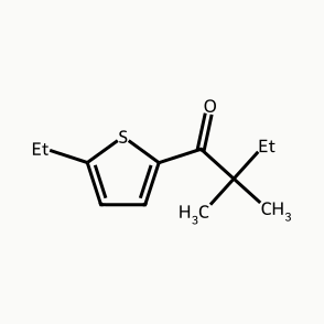 CCc1ccc(C(=O)C(C)(C)CC)s1